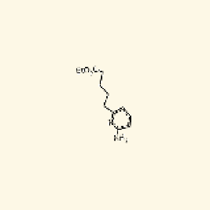 CCOC(=O)CCCCc1cccc(N)n1